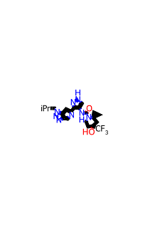 CC(C)Cn1nnc2cnc(-c3n[nH]cc3NC(=O)N3CCC(O)(C(F)(F)F)CC34CC4)cc21